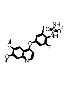 COc1cc2nccc(Oc3cc(F)c(NS(N)(=O)=O)c(I)c3)c2cc1OC